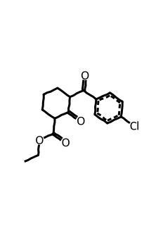 CCOC(=O)C1CCCC(C(=O)c2ccc(Cl)cc2)C1=O